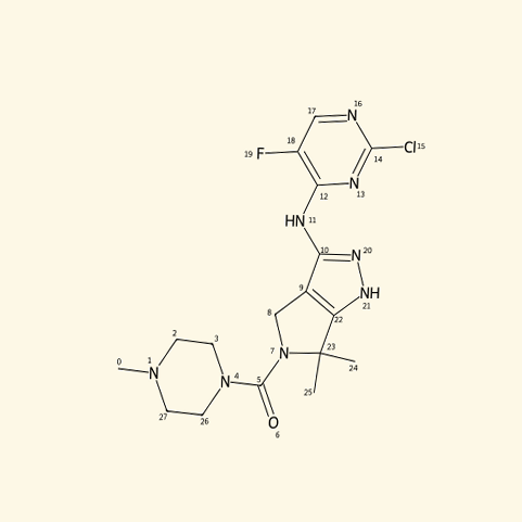 CN1CCN(C(=O)N2Cc3c(Nc4nc(Cl)ncc4F)n[nH]c3C2(C)C)CC1